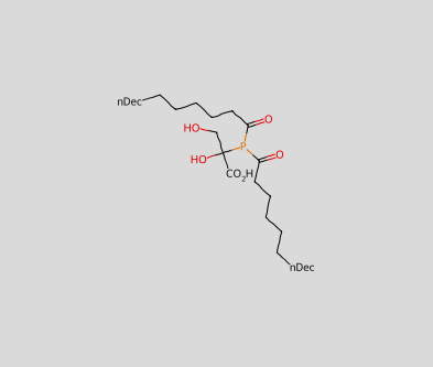 CCCCCCCCCCCCCCCC(=O)P(C(=O)CCCCCCCCCCCCCCC)C(O)(CO)C(=O)O